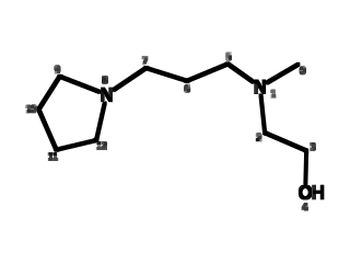 CN(CCO)CCCN1CCCC1